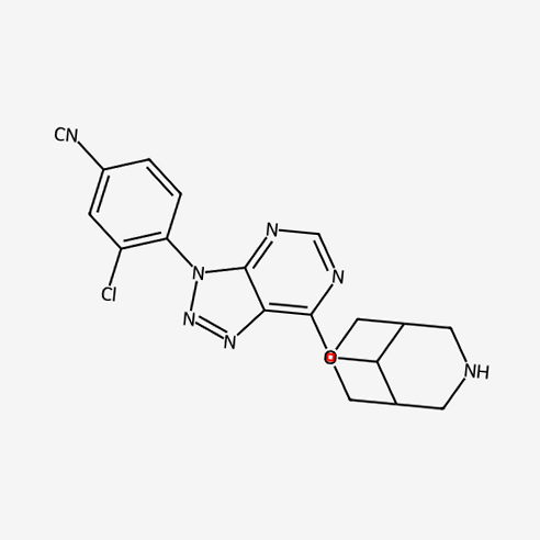 [C-]#[N+]c1ccc(-n2nnc3c(OC4C5CNCC4COC5)ncnc32)c(Cl)c1